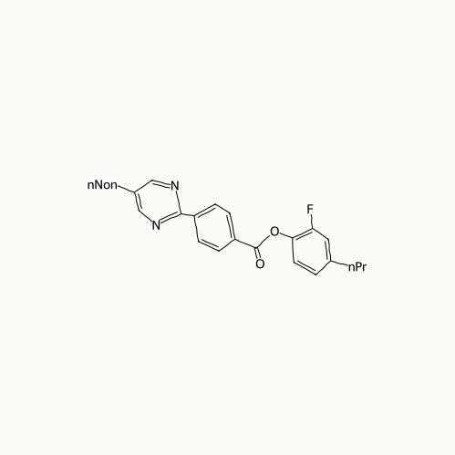 CCCCCCCCCc1cnc(-c2ccc(C(=O)Oc3ccc(CCC)cc3F)cc2)nc1